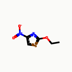 CCOc1nc([N+](=O)[O-])cs1